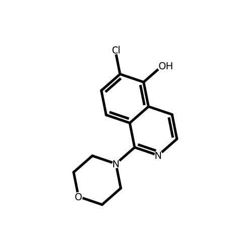 Oc1c(Cl)ccc2c(N3CCOCC3)nccc12